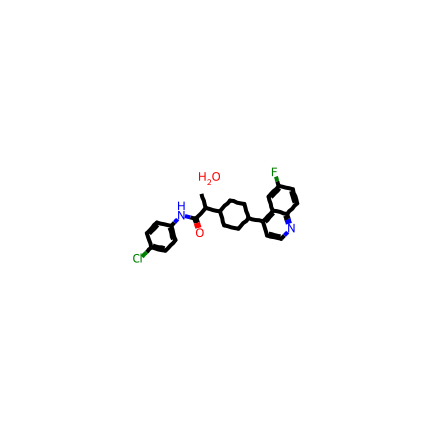 CC(C(=O)Nc1ccc(Cl)cc1)C1CCC(c2ccnc3ccc(F)cc23)CC1.O